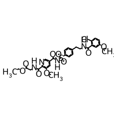 CCOC(=O)CNC(=O)c1ncc(C(=O)NS(=O)(=O)c2ccc(CCNC(=O)c3cc(OC)ccc3Cl)cc2)cc1OC